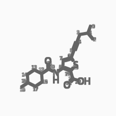 CC(C)CC#Cc1cc(NC(=O)C2CCC(C)CC2)c(C(=O)O)s1